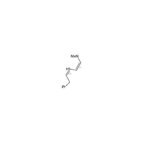 CN/C=C\[SH]=C/CC(C)C